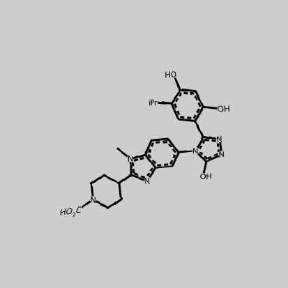 CC(C)c1cc(-c2nnc(O)n2-c2ccc3c(c2)nc(C2CCN(C(=O)O)CC2)n3C)c(O)cc1O